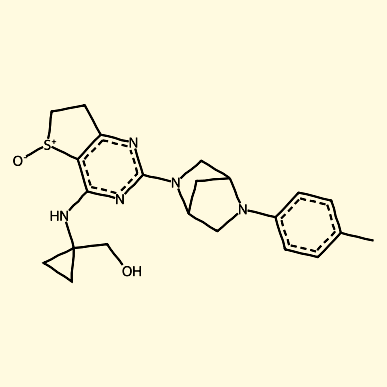 Cc1ccc(N2CC3CC2CN3c2nc3c(c(NC4(CO)CC4)n2)[S+]([O-])CC3)cc1